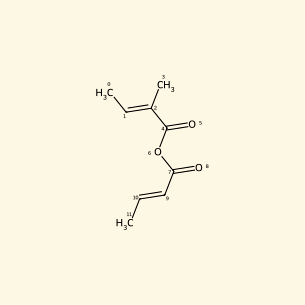 CC=C(C)C(=O)OC(=O)/C=C/C